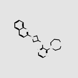 c1ccc2nc(N3CC(Oc4nccnc4N4CCCOCC4)C3)ccc2c1